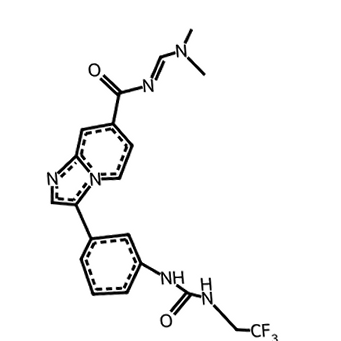 CN(C)/C=N/C(=O)c1ccn2c(-c3cccc(NC(=O)NCC(F)(F)F)c3)cnc2c1